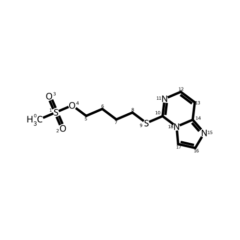 CS(=O)(=O)OCCCCSc1nccc2nccn12